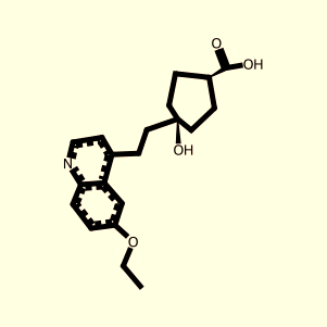 CCOc1ccc2nccc(CC[C@]3(O)CC[C@@H](C(=O)O)CC3)c2c1